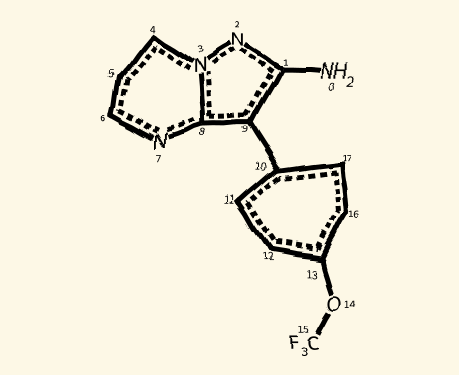 Nc1nn2cccnc2c1-c1ccc(OC(F)(F)F)cc1